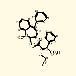 CN1C(=O)[C@@H](NC(=O)[C@@H](CCC(F)(F)F)[C@H](C(=O)O)c2ccccc2)N=C(c2ccccc2)c2ccccc21